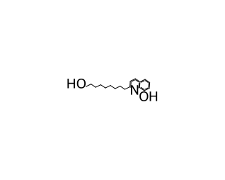 OCCCCCCCCCc1ccc2cccc(O)c2n1